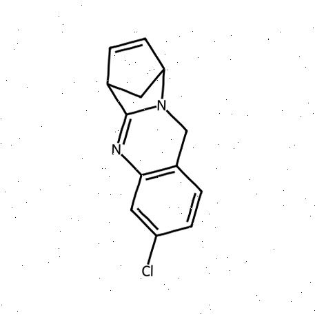 Clc1ccc2c(c1)N=C1C3C=CC(C3)N1C2